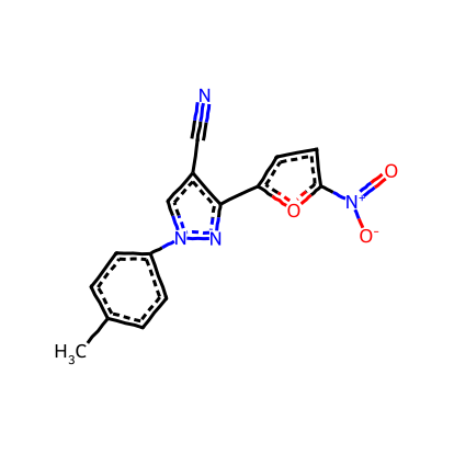 Cc1ccc(-n2cc(C#N)c(-c3ccc([N+](=O)[O-])o3)n2)cc1